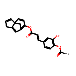 CC(C)(C)C(=O)Oc1ccc(C=CC(=O)OC2=C3C=C4CC=CC4(C=C2)C3)cc1O